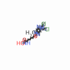 Cn1c(OCCCCCCC(=O)NO)nc2cc(N(CCCl)CCCl)c(N)cc21